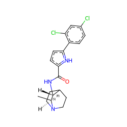 C[C@H]1[C@H](NC(=O)c2ccc(-c3ccc(Cl)cc3Cl)[nH]2)C2CCN1CC2